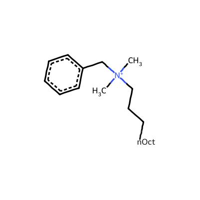 CCCCCCCCCCC[N+](C)(C)Cc1ccccc1